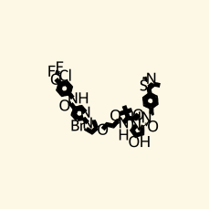 Cc1ncsc1-c1ccc(CNC(=O)[C@@H]2C[C@@H](O)CN2C(=O)C(NC(=O)CCOC2CCN(c3ncc(C(=O)Nc4ccc(OC(F)(F)Cl)cc4)cc3Br)C2)C(C)(C)C)cc1